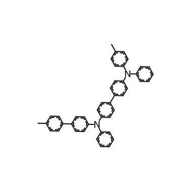 Cc1ccc(-c2ccc(N(c3ccccc3)c3ccc(-c4ccc(N(c5ccccc5)c5ccc(C)cc5)cc4)cc3)cc2)cc1